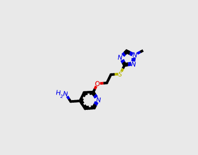 Cn1cnc(SCCOc2cc(CN)ccn2)n1